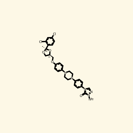 CCCn1ncn(-c2ccc(N3CCN(c4ccc(OC[C@H]5CO[C@@](C)(c6ccc(Cl)cc6Cl)O5)cc4)CC3)cc2)c1=O